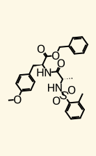 COc1ccc(C[C@H](NC(=O)[C@H](C)NS(=O)(=O)c2ccccc2C)C(=O)OCc2ccccc2)cc1